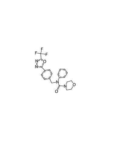 O=C(N1CCOCC1)N(Cc1ccc(-c2nnc(C(F)(F)F)o2)cc1)c1ccccc1